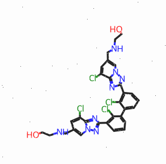 OCCNCc1cc(Cl)c2nc(-c3cccc(-c4cccc(-c5nc6c(Cl)cc(CNCCO)cn6n5)c4Cl)c3Cl)nn2c1